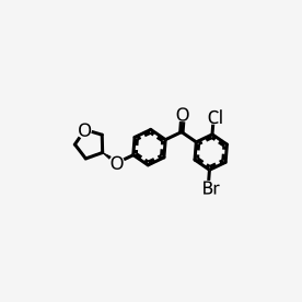 O=C(c1ccc(O[C@H]2CCOC2)cc1)c1cc(Br)ccc1Cl